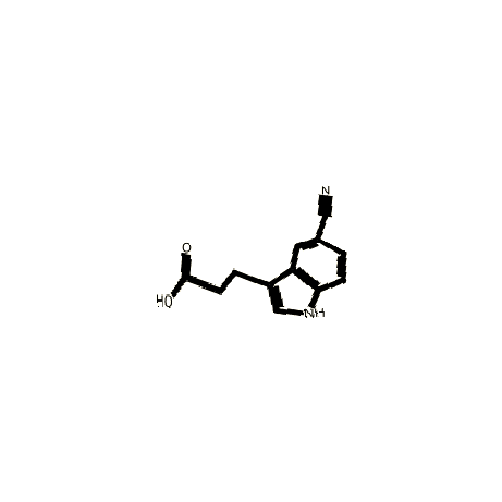 N#Cc1ccc2[nH]cc(CCC(=O)O)c2c1